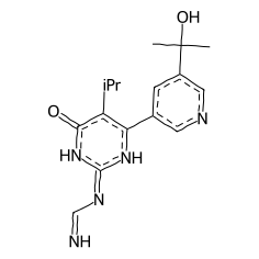 CC(C)c1c(-c2cncc(C(C)(C)O)c2)[nH]/c(=N/C=N)[nH]c1=O